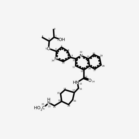 CC(O)C(C)Oc1ccc(-c2cc(C(=O)NCC3CCC(CNC(=O)O)CC3)c3ccccc3n2)cn1